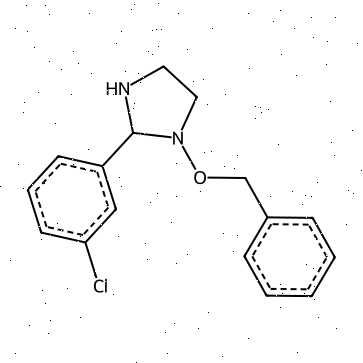 Clc1cccc(C2NCCN2OCc2ccccc2)c1